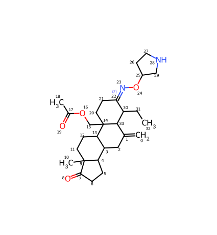 C=C1CC2C3CCC(=O)C3(C)CCC2C2(COC(C)=O)CC/C(=N/OC3CCNC3)C(CC)C12